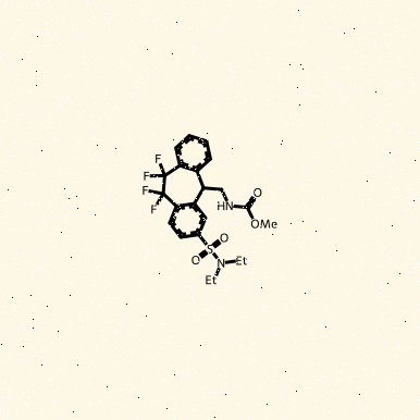 CCN(CC)S(=O)(=O)c1ccc2c(c1)C(CNC(=O)OC)c1ccccc1C(F)(F)C2(F)F